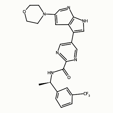 C[C@@H](NC(=O)c1ncc(-c2c[nH]c3ncc(N4CCOCC4)cc23)cn1)c1cccc(C(F)(F)F)c1